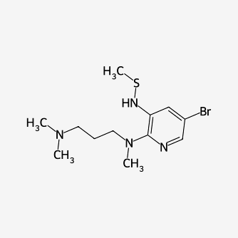 CSNc1cc(Br)cnc1N(C)CCCN(C)C